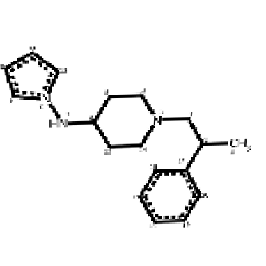 CC(CN1CCC(Nn2cccc2)CC1)c1ccccc1